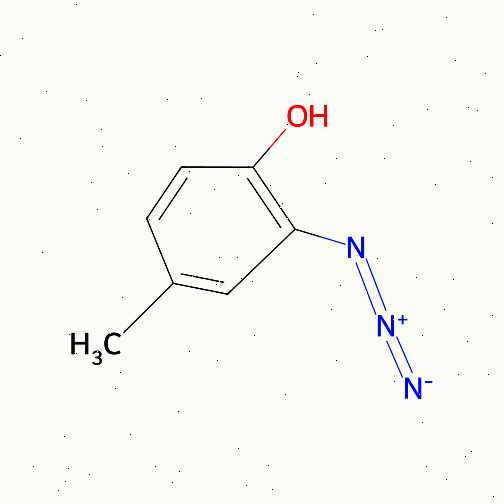 Cc1ccc(O)c(N=[N+]=[N-])c1